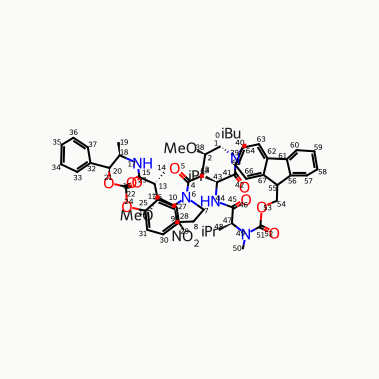 CC[C@H](C)[C@@H]([C@@H](CC(=O)N1CCC[C@H]1[C@H](OC)[C@@H](C)C(=O)N[C@H](C)[C@@H](OC(=O)Oc1ccc([N+](=O)[O-])cc1)c1ccccc1)OC)N(C)C(=O)[C@@H](NC(=O)[C@H](C(C)C)N(C)C(=O)OCC1c2ccccc2-c2ccccc21)C(C)C